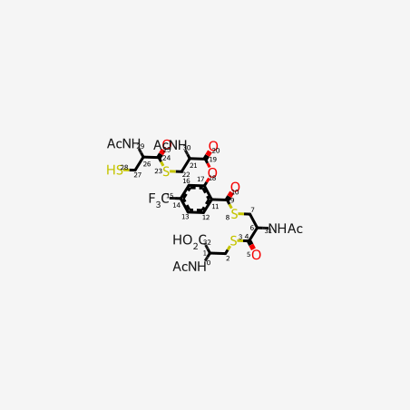 CC(=O)NC(CSC(=O)C(CSC(=O)c1ccc(C(F)(F)F)cc1OC(=O)C(CSC(=O)C(CS)NC(C)=O)NC(C)=O)NC(C)=O)C(=O)O